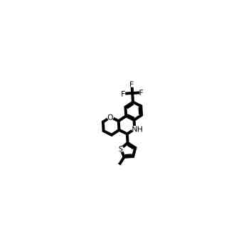 Cc1ccc(C2Nc3ccc(C(F)(F)F)cc3C3OCCCC23)s1